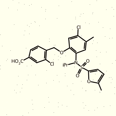 Cc1ccc(S(=O)(=O)N(c2cc(C)c(Cl)cc2OCc2ccc(C(=O)O)cc2Cl)C(C)C)o1